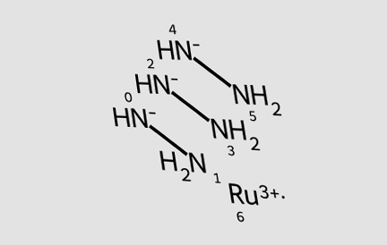 [NH-]N.[NH-]N.[NH-]N.[Ru+3]